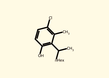 CCCCCCC(C)c1c(O)ccc(Cl)c1C